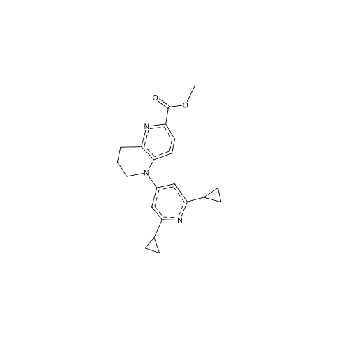 COC(=O)c1ccc2c(n1)CCCN2c1cc(C2CC2)nc(C2CC2)c1